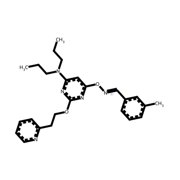 CCCN(CCC)c1cc(O/N=C/c2cccc(C)c2)nc(OCCc2ccccn2)n1